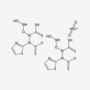 ONON(C(=S)S)N(C(=S)[S-])c1nccs1.ONON(C(=S)S)N(C(=S)[S-])c1nccs1.[O]=[Mo+2]=[O]